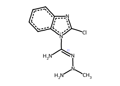 CN(N)/N=C(\N)n1c(Cl)nc2ccccc21